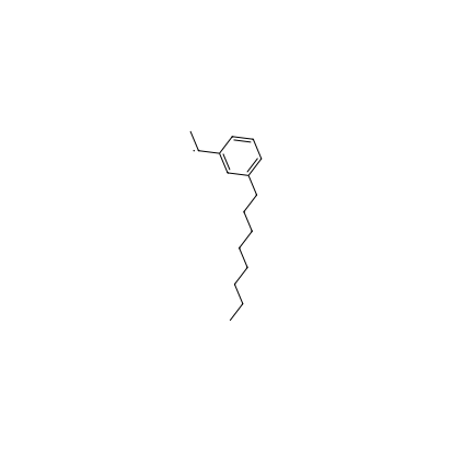 C[CH]c1cccc(CCCCCCCC)c1